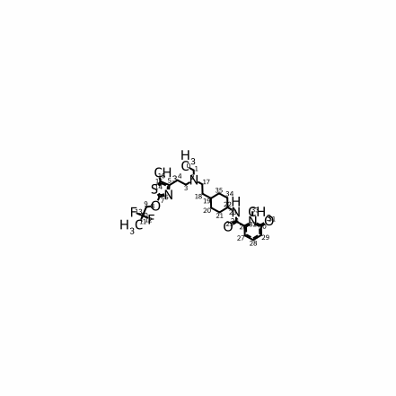 CCN(CCc1nc(OCC(C)(F)F)sc1C)CCC1CCC(NC(=O)c2cccc(=O)n2C)CC1